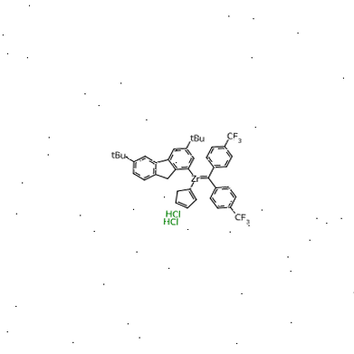 CC(C)(C)c1ccc2c(c1)-c1cc(C(C)(C)C)c[c]([Zr]([C]3=CC=CC3)=[C](c3ccc(C(F)(F)F)cc3)c3ccc(C(F)(F)F)cc3)c1C2.Cl.Cl